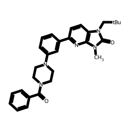 Cn1c(=O)n(CC(C)(C)C)c2ccc(-c3cccc(N4CCN(C(=O)c5ccccc5)CC4)c3)nc21